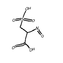 O=NC(CS(=O)(=O)O)C(=O)O